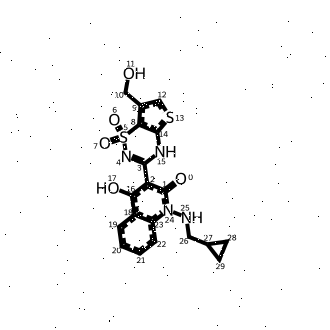 O=c1c(C2=NS(=O)(=O)c3c(CO)csc3N2)c(O)c2ccccc2n1NCC1CC1